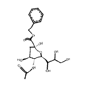 CC(=O)N[C@@H]1[C@@H](O)C[C@@](O)(C(=O)OCc2ccccc2)O[C@H]1C(O)C(O)CO